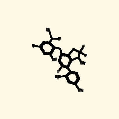 CCC(F)c1cc(F)cc(C#N)c1Cc1cc(F)c(-c2ccc(C#N)cc2N)c2c1CC(F)(F)C2O